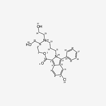 CCOC(=O)c1c2ccc(Cl)cc2c(-c2ccccc2)n1CCCN(CCO)CCO